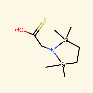 C[Si]1(C)CC[Si](C)(C)N1CC(O)=S